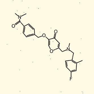 Cc1cc(F)ccc1CN(C)Cc1cc(=O)c(OCc2ccc(C(=O)N(C)C)cc2)co1